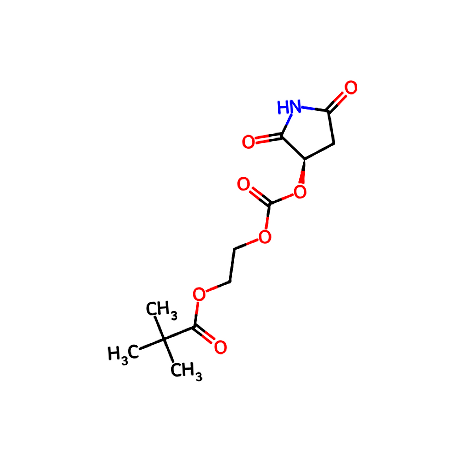 CC(C)(C)C(=O)OCCOC(=O)O[C@@H]1CC(=O)NC1=O